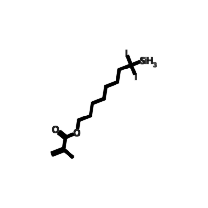 C=C(C)C(=O)OCCCCCCCC([SiH3])(I)I